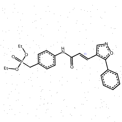 CCOP(=O)(Cc1ccc(NC(=O)/C=C/c2cnoc2-c2ccccc2)cc1)OCC